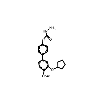 COc1ccc(-c2ccc(OC(=O)NN)cc2)cc1OC1CCCC1